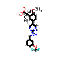 COc1ccc(-c2cnc(NCc3cccc(OC(F)(F)F)c3)nc2)cc1C(C)(C)C(=O)O